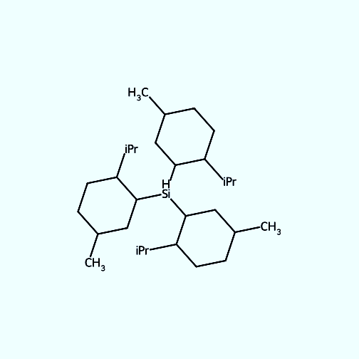 CC1CCC(C(C)C)C([SiH](C2CC(C)CCC2C(C)C)C2CC(C)CCC2C(C)C)C1